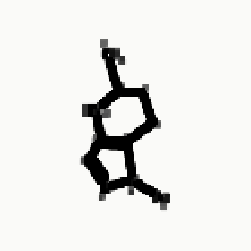 CC(=O)n1ncc2c1CCC(C)N2